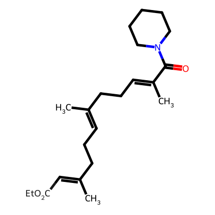 CCOC(=O)C=C(C)CCC=C(C)CCC=C(C)C(=O)N1CCCCC1